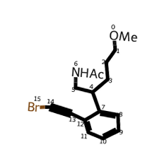 COCCCC(CNC(C)=O)c1ccccc1C#CBr